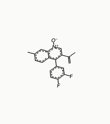 C=C(C)c1c[n+]([O-])c2cc(C)ccc2c1-c1ccc(F)c(F)c1